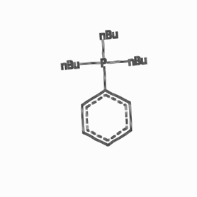 CCCC[P](CCCC)(CCCC)c1ccccc1